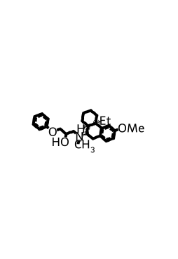 CC[C@@]12CCCC[C@@H]1[C@@H](N(C)CC(O)COc1ccccc1)Cc1ccc(OC)cc12